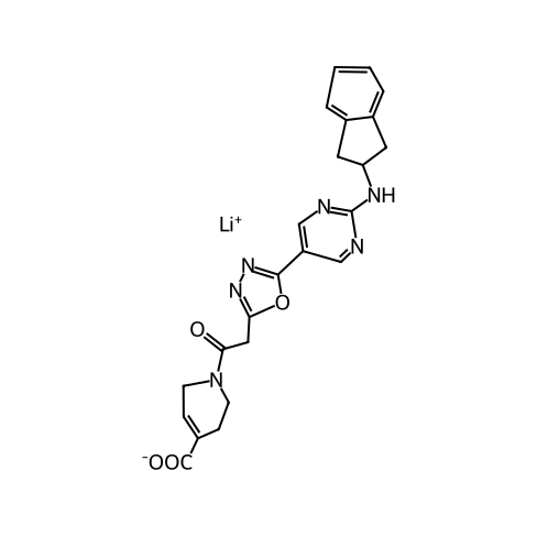 O=C([O-])C1=CCN(C(=O)Cc2nnc(-c3cnc(NC4Cc5ccccc5C4)nc3)o2)CC1.[Li+]